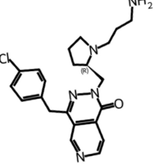 NCCCN1CCC[C@@H]1Cn1nc(Cc2ccc(Cl)cc2)c2cnccc2c1=O